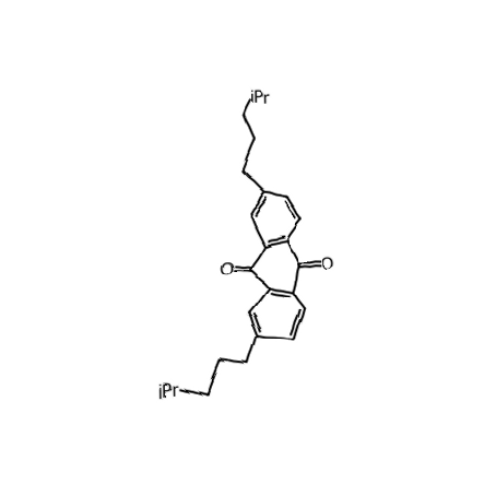 CC(C)CCCc1ccc2c(c1)C(=O)c1cc(CCCC(C)C)ccc1C2=O